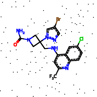 NC(=O)N1CC(CNc2cc(C(F)(F)F)nc3ccc(Cl)cc23)(n2cc(Br)cn2)C1